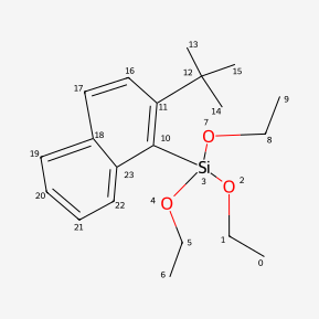 CCO[Si](OCC)(OCC)c1c(C(C)(C)C)ccc2ccccc12